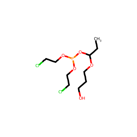 CCC(OCCCO)OP(OCCCl)OCCCl